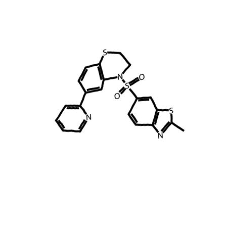 Cc1nc2ccc(S(=O)(=O)N3CCSc4ccc(-c5ccccn5)cc43)cc2s1